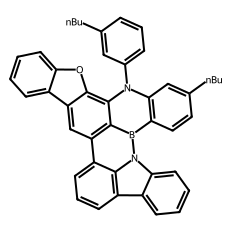 CCCCc1cccc(N2c3cc(CCCC)ccc3B3c4c(cc5c(oc6ccccc65)c42)-c2cccc4c5ccccc5n3c24)c1